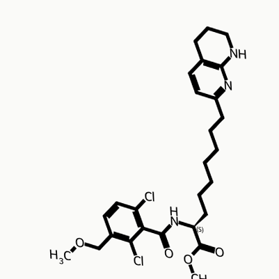 COCc1ccc(Cl)c(C(=O)N[C@@H](CCCCCCCc2ccc3c(n2)NCCC3)C(=O)OC)c1Cl